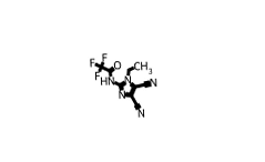 CCn1c(NC(=O)C(F)(F)F)nc(C#N)c1C#N